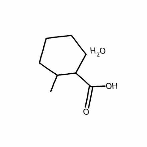 CC1CCCCC1C(=O)O.O